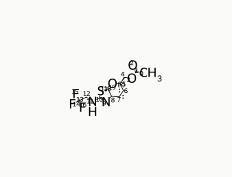 CC(=O)OC[C@H]1[C][C]C2N=C(NCC(F)(F)F)SC2O1